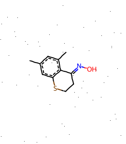 Cc1cc(C)c2c(c1)SCC/C2=N\O